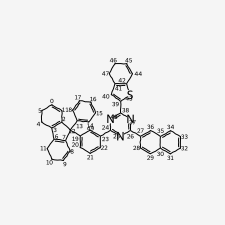 C1=CC2=C(CC1)C1=C(C=CCC1)C2(c1ccccc1)c1cccc(-c2nc(-c3ccc4ccccc4c3)nc(-c3cc4c(s3)C=CCC4)n2)c1